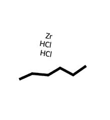 CCCCCC.Cl.Cl.[Zr]